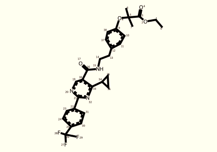 CCOC(=O)C(C)(C)Oc1ccc(CCNC(=O)c2cnc(-c3ccc(C(F)(F)F)cc3)nc2C2CC2)cc1